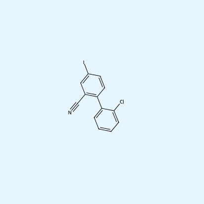 N#Cc1cc(I)ccc1-c1ccccc1Cl